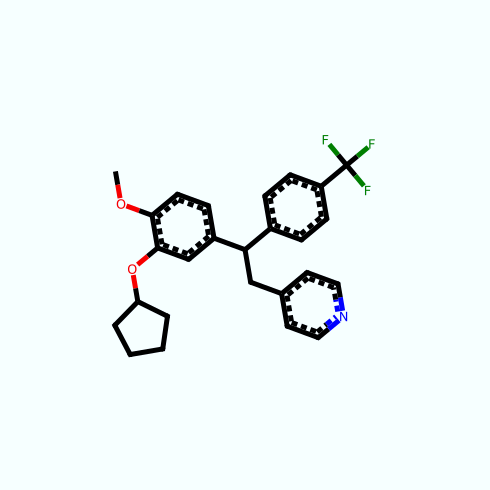 COc1ccc(C(Cc2ccncc2)c2ccc(C(F)(F)F)cc2)cc1OC1CCCC1